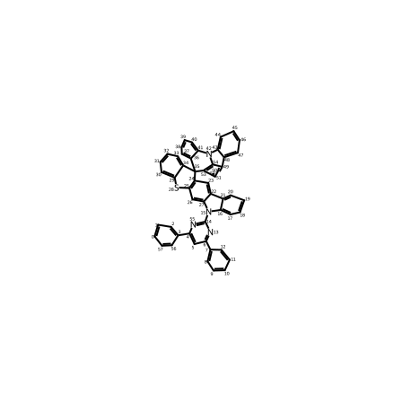 c1ccc(-c2cc(-c3ccccc3)nc(-n3c4ccccc4c4cc5c(cc43)Sc3ccccc3C53c4ccccc4-n4c5ccccc5c5cccc3c54)n2)cc1